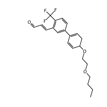 CCCCOCCOC1C=CC(c2ccc(C(F)(F)F)c(/C=C/C=O)c2)=CC1